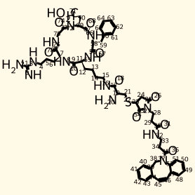 N=C(N)NCCC[C@@H]1NC(=O)[C@H](CCCCNC(=O)[C@@H](N)CSC2CC(=O)N(CCC(=O)NCCC(=O)N3Cc4ccccc4C#Cc4ccccc43)C2=O)NC(=O)[C@@H](Cc2ccccc2)NC(=O)[C@H](CC(=O)O)NC(=O)CNC1=O